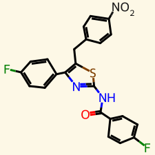 O=C(Nc1nc(-c2ccc(F)cc2)c(Cc2ccc([N+](=O)[O-])cc2)s1)c1ccc(F)cc1